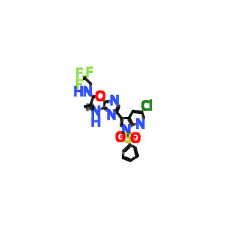 C[C@H](Nc1cncc(-c2cn(S(=O)(=O)c3ccccc3)c3ncc(Cl)cc23)n1)C(=O)NCC(F)(F)F